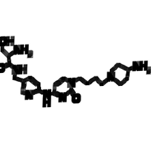 NC1CCN(CCCCn2ccc(Nc3ccc(CNC(=O)C(N)CO)cn3)nc2=O)CC1